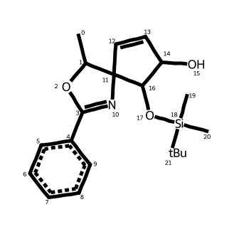 CC1OC(c2ccccc2)=NC12C=CC(O)C2O[Si](C)(C)C(C)(C)C